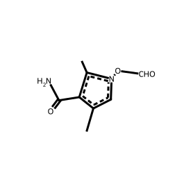 Cc1cn(OC=O)c(C)c1C(N)=O